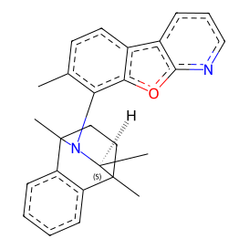 Cc1ccc2c(oc3ncccc32)c1N1[C@@H](C)C2(C)CCC1(C)c1ccccc12